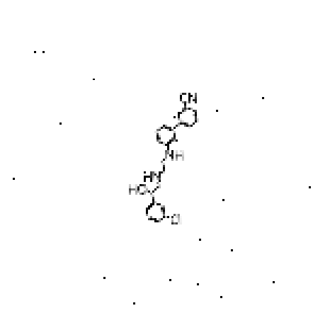 N#Cc1cccc(-c2cccc(NCCNC[C@H](O)c3cccc(Cl)c3)c2)c1